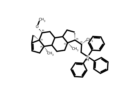 CO[C@@H]1CC2C3CC[C@H]([C@H](C)C[PH](c4ccccc4)(c4ccccc4)c4ccccc4)[C@@]3(C)CCC2[C@@]2(C)CC=C3C[C@]312